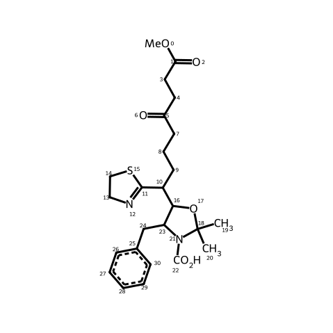 COC(=O)CCC(=O)CCCC(C1=NCCS1)C1OC(C)(C)N(C(=O)O)C1Cc1ccccc1